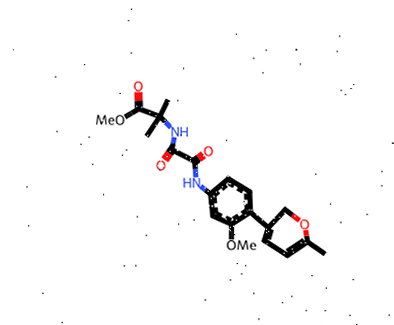 COC(=O)C(C)(C)NC(=O)C(=O)Nc1ccc(C2=CC=C(C)OC2)c(OC)c1